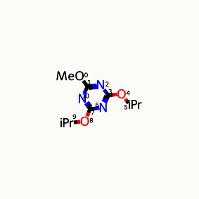 COc1nc(OC(C)C)nc(OC(C)C)n1